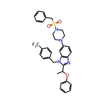 CC(Oc1ccccc1)c1nc2ccc(N3CCN(S(=O)(=O)Cc4ccccc4)CC3)cc2n1Cc1ccc(C(F)(F)F)cc1